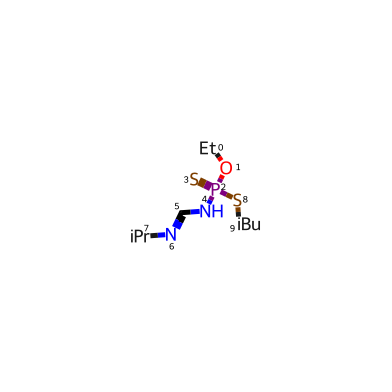 CCOP(=S)(NC=NC(C)C)SC(C)CC